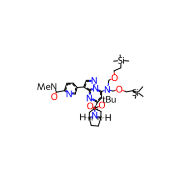 CNC(=O)c1ccc(-c2cnn3c(N(COCC[Si](C)(C)C)COCC[Si](C)(C)C)cc([C@H]4C[C@H]5CC[C@@H](C4)N5C(=O)OC(C)(C)C)nc23)cn1